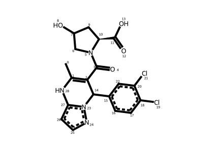 CC1=C(C(=O)N2CC(O)C[C@H]2C(=O)O)C(c2ccc(Cl)c(Cl)c2)n2nccc2N1